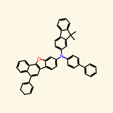 CC1(C)c2ccccc2-c2ccc(N(c3ccc(-c4ccccc4)cc3)c3ccc4c(c3)oc3c5ccccc5c(C5=CCCC=C5)cc43)cc21